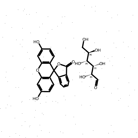 O=C1OC2(c3ccc(O)cc3Oc3cc(O)ccc32)c2ccccc21.O=C[C@H](O)[C@@H](O)[C@H](O)[C@H](O)CO